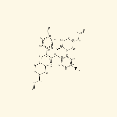 C=CC[C@H]1CC[C@H](CC(C(=O)C(C[C@H]2CC[C@H](CC=C)CC2)c2ccc(F)cc2)c2ccc(F)cc2)CC1